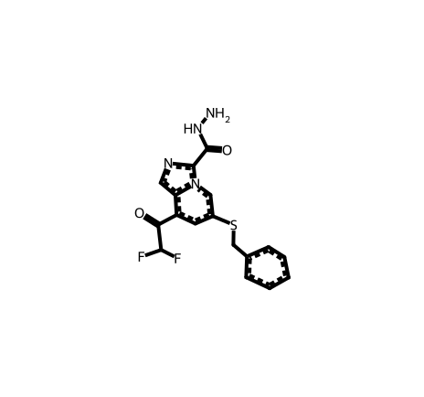 NNC(=O)c1ncc2c(C(=O)C(F)F)cc(SCc3ccccc3)cn12